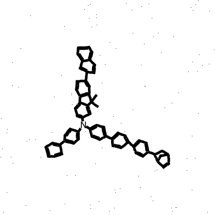 CC1(C)c2cc(-c3ccc4ccccc4c3)ccc2-c2ccc(N(c3ccc(-c4ccccc4)cc3)c3ccc(-c4ccc(-c5ccc(C6CC7C=CC6C7)cc5)cc4)cc3)cc21